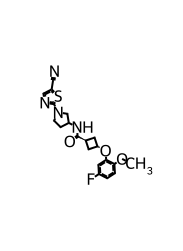 COc1ccc(F)cc1O[C@H]1C[C@H](C(=O)NC2CCN(c3ncc(C#N)s3)C2)C1